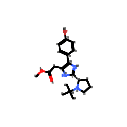 COC(=O)Cc1[nH]c([C@@H]2CCCN2C(C)(C)C)nc1-c1ccc(Br)cc1